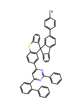 N#Cc1ccc(-c2ccc3c(c2)C2(c4ccccc4Sc4ccc(-c5cc(-c6ccccc6-c6ccccc6)nc(-c6ccccc6)n5)cc42)c2ccccc2-3)cc1